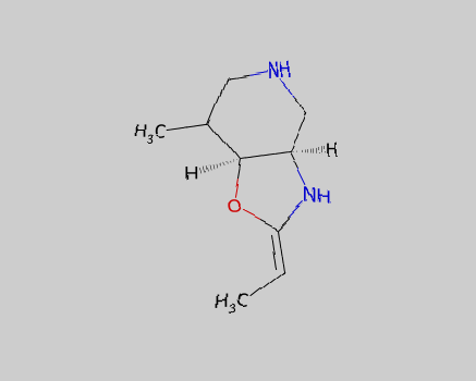 CC=C1N[C@@H]2CNCC(C)[C@@H]2O1